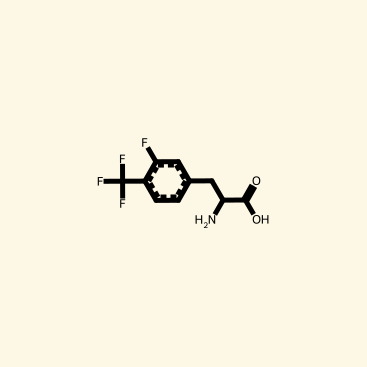 NC(Cc1ccc(C(F)(F)F)c(F)c1)C(=O)O